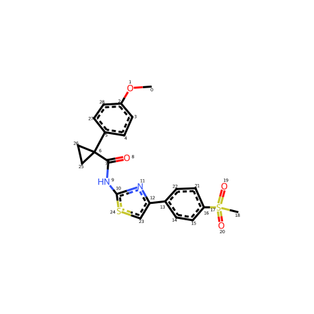 COc1ccc(C2(C(=O)Nc3nc(-c4ccc(S(C)(=O)=O)cc4)cs3)CC2)cc1